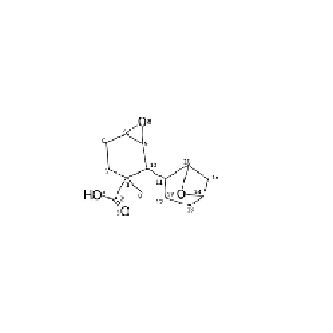 CC1(C(=O)O)CCC2OC2C1C1CCC2CC1O2